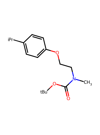 CC(C)c1ccc(OCCN(C)C(=O)OC(C)(C)C)cc1